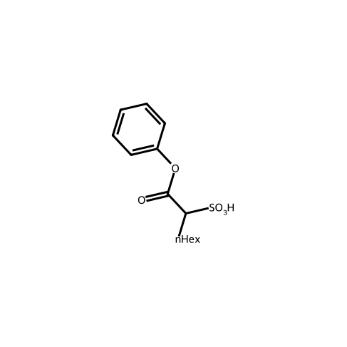 CCCCCCC(C(=O)Oc1ccccc1)S(=O)(=O)O